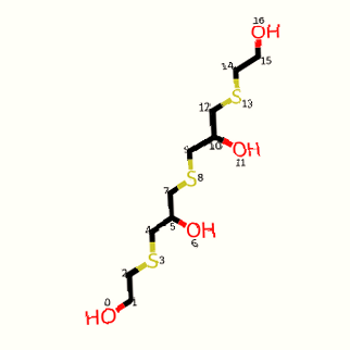 OCCSCC(O)CSCC(O)CSCCO